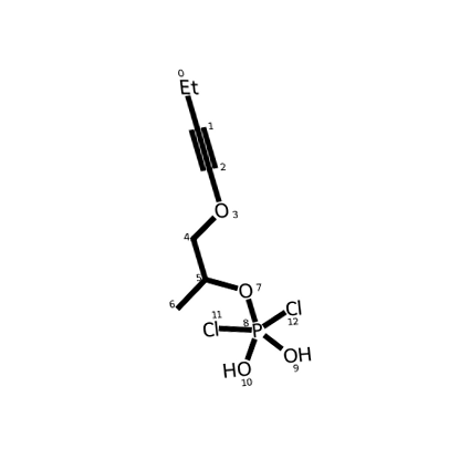 CCC#COCC(C)OP(O)(O)(Cl)Cl